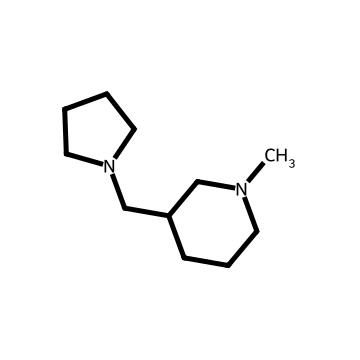 CN1CCCC(CN2CCCC2)C1